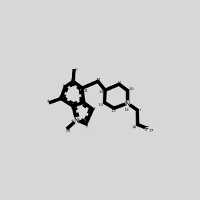 Cc1cc(C)c2c(ccn2C)c1CC1CCN(CCF)CC1